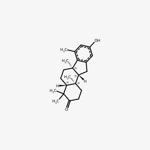 Cc1cc(O)cc2c1[C@]1(C)CC[C@H]3C(C)(C)C(=O)CC[C@]3(C)[C@H]1C2